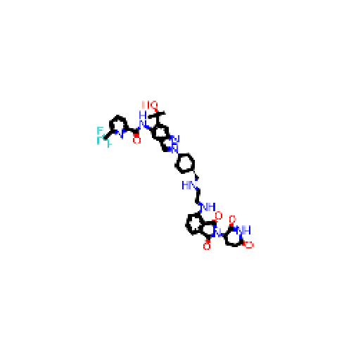 CC(C)(O)c1cc2nn([C@H]3CC[C@H](CNCCNc4cccc5c4C(=O)N(C4CCC(=O)NC4=O)C5=O)CC3)cc2cc1NC(=O)c1cccc(C(F)(F)F)n1